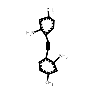 Cc1ccc(C#Cc2ccc(C)cc2N)c(N)c1